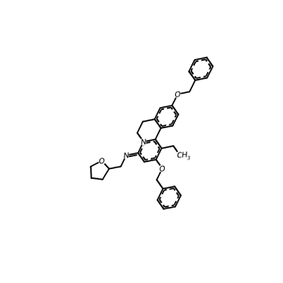 CCc1c(OCc2ccccc2)cc(=NCC2CCCO2)n2c1-c1ccc(OCc3ccccc3)cc1CC2